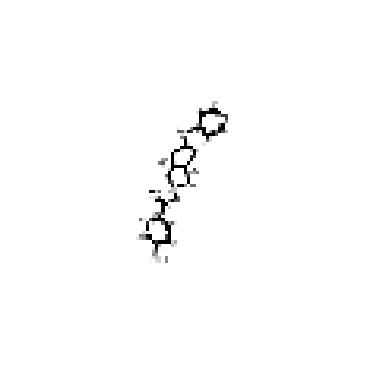 O=C(CN1C[C@H]2CC(Oc3ccncc3)C[C@H]2C1)c1ccc(O)cc1